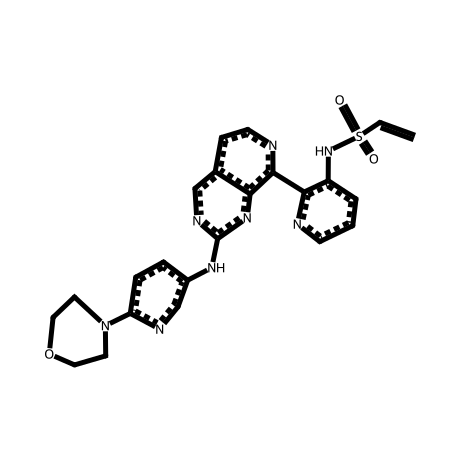 C=CS(=O)(=O)Nc1cccnc1-c1nccc2cnc(Nc3ccc(N4CCOCC4)nc3)nc12